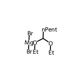 [Br][Mg][Br].[CH2]CCCCC(OCC)OCC